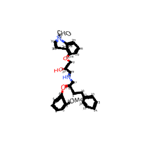 COc1ccccc1OC(CCc1ccccc1)CNCC(O)COc1cccc2c1CCN2C=O